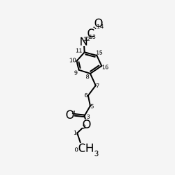 CCOC(=O)CCCc1ccc(N=C=O)cc1